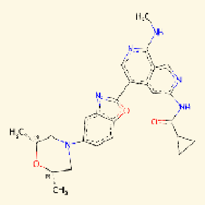 CNc1ncc(-c2nc3cc(N4C[C@@H](C)O[C@@H](C)C4)ccc3o2)c2cc(NC(=O)C3CC3)ncc12